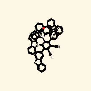 N#Cc1c(C#N)c(-c2ccc3sc4ccccc4c3c2)c(-n2c3ccccc3c3ccc4c5ccccc5sc4c32)c(-n2c3ccccc3c3ccc4c5ccccc5sc4c32)c1-c1ccc2sc3ccccc3c2c1